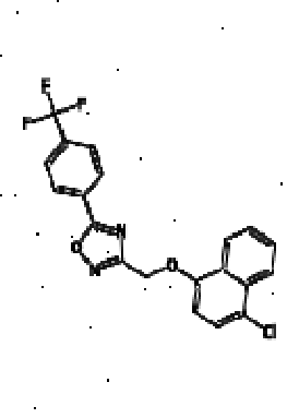 FC(F)(F)c1ccc(-c2nc(COc3ccc(Cl)c4ccccc34)no2)cc1